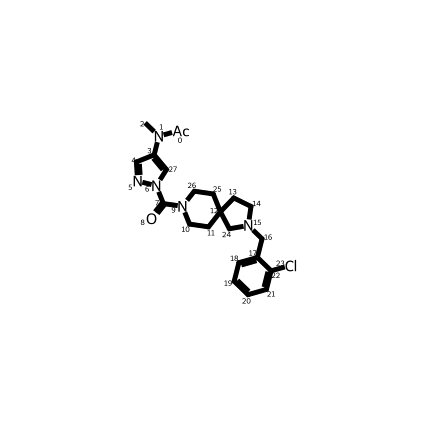 CC(=O)N(C)c1cnn(C(=O)N2CCC3(CCN(Cc4ccccc4Cl)C3)CC2)c1